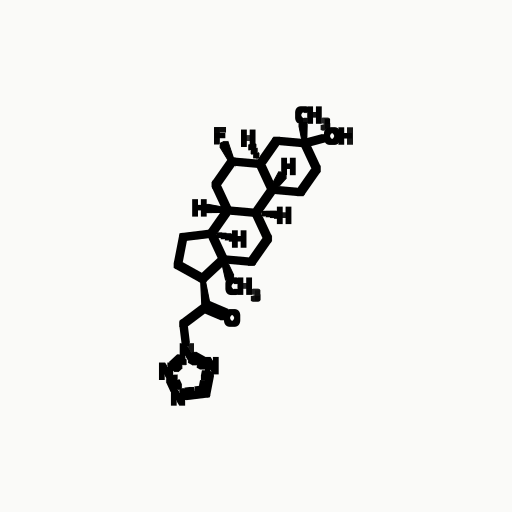 C[C@@]1(O)CC[C@@H]2[C@H]3CC[C@]4(C)[C@@H](C(=O)Cn5ncnn5)CC[C@H]4[C@@H]3C[C@@H](F)[C@H]2C1